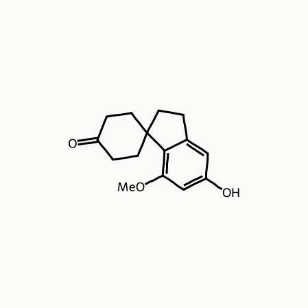 COc1cc(O)cc2c1C1(CCC(=O)CC1)CC2